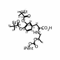 CCCC(C)OC(=O)OC(C)CN[C@@H](Cc1ccc(OC(=O)C(C)(C)CC)c(OC(=O)C(C)(C)CC)c1)C(=O)O